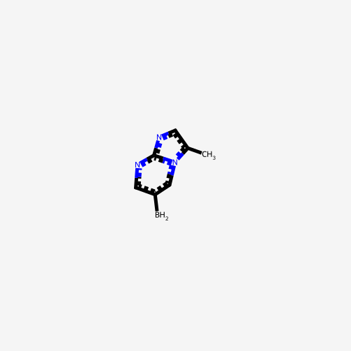 Bc1cnc2ncc(C)n2c1